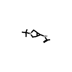 C=C(C)NC1C2CN(C(C)(C)C)CC21